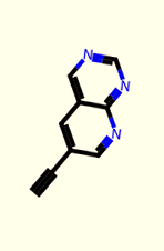 C#Cc1cnc2ncncc2c1